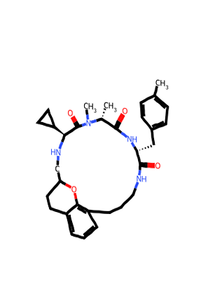 Cc1ccc(C[C@H]2NC(=O)[C@@H](C)N(C)C(=O)[C@H](C3CC3)NCC3CCc4cccc(c4O3)CCCNC2=O)cc1